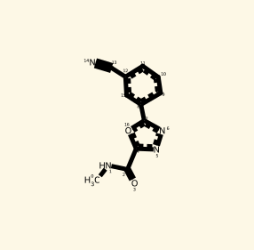 CNC(=O)c1nnc(-c2cccc(C#N)c2)o1